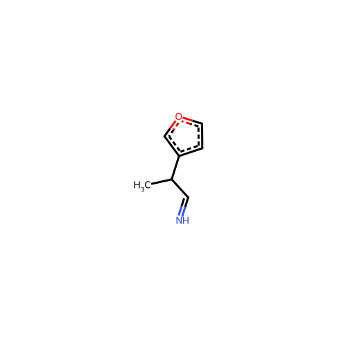 CC(C=N)c1ccoc1